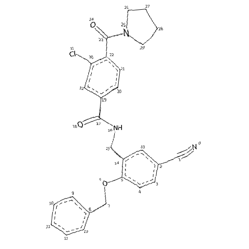 N#Cc1ccc(OCc2ccccc2)c(CNC(=O)c2ccc(C(=O)N3CCCC3)c(Cl)c2)c1